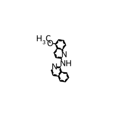 COc1cccc2nc(Nc3nccc4ccccc34)ccc12